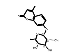 Cc1cc(=O)oc2cc(O[C@@H]3O[C@H](C)[C@@H](O)[C@H](O)[C@H]3O)ccc12